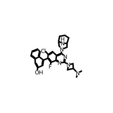 CN(C)C1CN(c2nc(N3CC4CCCC(C3)N4)c3cc(Cl)c(-c4cc(O)cc5ccccc45)c(F)c3n2)C1